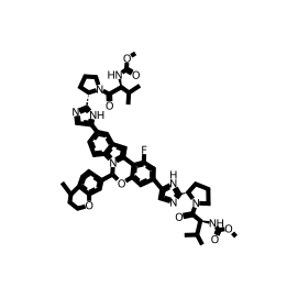 COC(=O)N[C@H](C(=O)N1CCC[C@H]1c1ncc(-c2cc(F)c3c(c2)OC(c2ccc4c(c2)OCCC4C)n2c-3cc3cc(-c4cnc([C@@H]5CCCN5C(=O)[C@@H](NC(=O)OC)C(C)C)[nH]4)ccc32)[nH]1)C(C)C